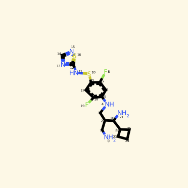 NCC(CNc1cc(F)c(SNc2ncns2)cc1F)C(N)C1CCC1